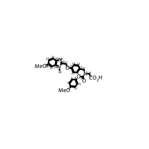 COc1ccc(OC(=O)N(CC(=O)O)Cc2ccc(OCc3nc4ccc(OC)cc4n3C)cc2)cc1